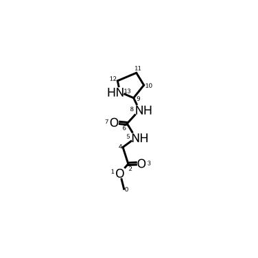 COC(=O)CNC(=O)NC1CCCN1